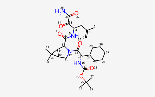 C=C(C)CC(NC(=O)[C@@H]1C2C(CN1C(=O)[C@@H](NC(=O)OC(C)(C)C)C1CCCCC1)C2(C)C)C(=O)C(N)=O